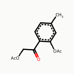 CC(=O)OCC(=O)c1ccc(C)cc1OC(C)=O